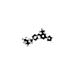 O=C(OC(C(F)(F)F)C(F)(F)F)N1CCN(Cc2ccc(N3CCCC3)cc2C(F)(F)F)CC1